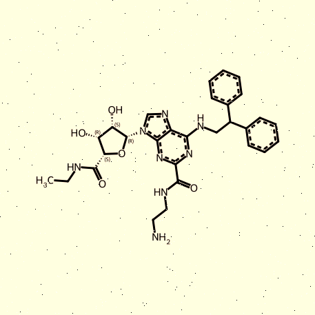 CCNC(=O)[C@H]1O[C@@H](n2cnc3c(NCC(c4ccccc4)c4ccccc4)nc(C(=O)NCCN)nc32)[C@@H](O)[C@H]1O